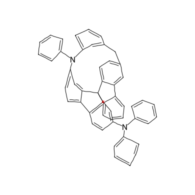 c1ccc(N(c2ccccc2)c2ccc3c(c2)C24c5ccccc5-c5cc(ccc52)Cc2cccc(c2)N(c2ccccc2)c2ccc-3c4c2)cc1